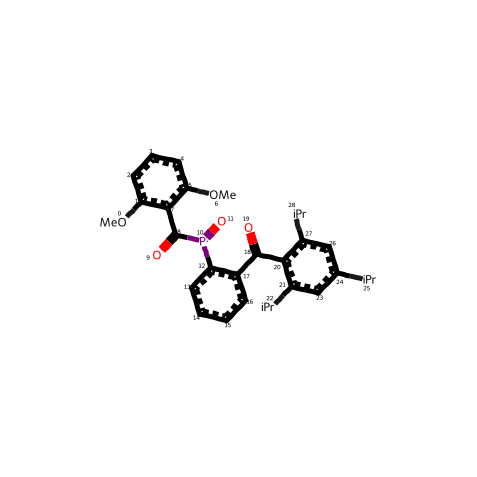 COc1cccc(OC)c1C(=O)[P](=O)c1ccccc1C(=O)c1c(C(C)C)cc(C(C)C)cc1C(C)C